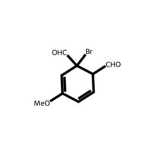 COC1=CC(Br)(C=O)C(C=O)C=C1